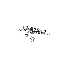 C1CCCCC1.CC(=O)O[C@H]1[C@@H](O)[C@](C#N)(c2ccc3c(NC(=O)OCOC(=O)C(C)(C)C)ncnn23)O[C@@H]1CO